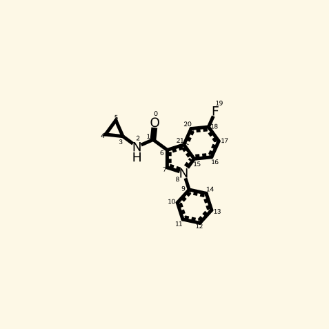 O=C(NC1CC1)c1cn(-c2ccccc2)c2ccc(F)cc12